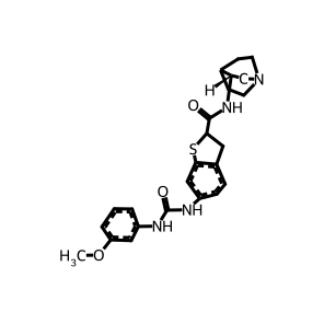 COc1cccc(NC(=O)Nc2ccc3c(c2)SC(C(=O)N[C@H]2CN4CCC2CC4)C3)c1